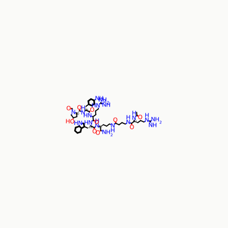 CC(=O)N[C@@H](CCCNC(=N)N)C(=O)NCCCC(=O)NCCC[C@H](NC(=O)[C@H](Cc1c[nH]c2ccccc12)NC(=O)C(CCCNC(=N)N)NC(=O)[C@@H](Cc1ccc(N)cc1)NC(=O)[C@@H]1CC(O)CN1C=O)C(N)=O